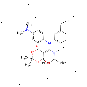 CCCCCCC(CCCCCC)N(Cc1ccc(CC(C)C)cc1)C(Nc1ccc(N(C)C)cc1)=C1C(=O)OC(C)(C)OC1=O